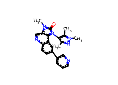 Cc1nn(C)c(C)c1-n1c(=O)n(C)c2cnc3ccc(-c4cccnc4)cc3c21